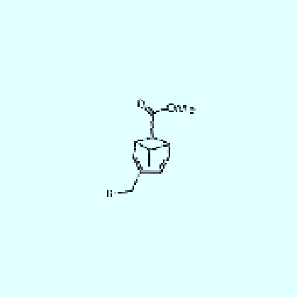 COC(=O)C1C2C=CC(CBr)=CC1C2C